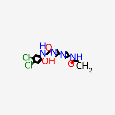 C=CC(=O)NC1CN(C2CN(C(=O)CNc3cc(Cl)c(Cl)cc3O)C2)C1